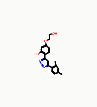 Cc1ccc(-c2cc(-c3ccc(OCCO)cc3O)nnn2)c(C)c1